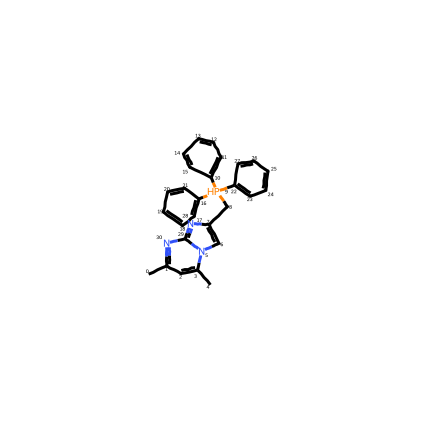 Cc1cc(C)n2cc(C[PH](c3ccccc3)(c3ccccc3)c3ccccc3)nc2n1